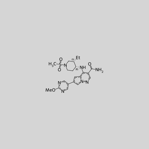 CC[C@H]1CN(S(C)(=O)=O)CC[C@H]1Nc1c(C(N)=O)cnn2cc(-c3cnc(OC)nc3)cc12